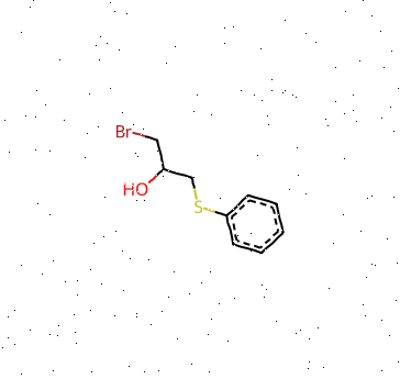 OC(CBr)CSc1ccccc1